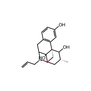 C=CCN1CC[C@@]23c4cc(O)ccc4CC1C2(O)CC[C@@H](C)C3O